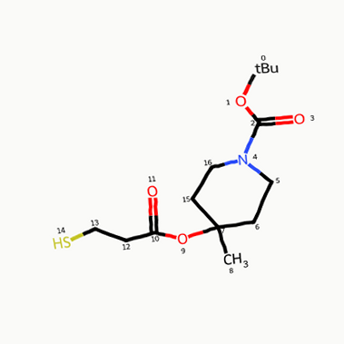 CC(C)(C)OC(=O)N1CCC(C)(OC(=O)CCS)CC1